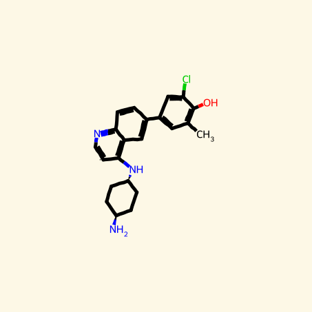 Cc1cc(-c2ccc3nc[c]c(N[C@H]4CC[C@H](N)CC4)c3c2)cc(Cl)c1O